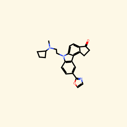 CN(CCn1c2ccc(-c3ncco3)cc2c2c3c(ccc21)C(=O)CC3)C1CCC1